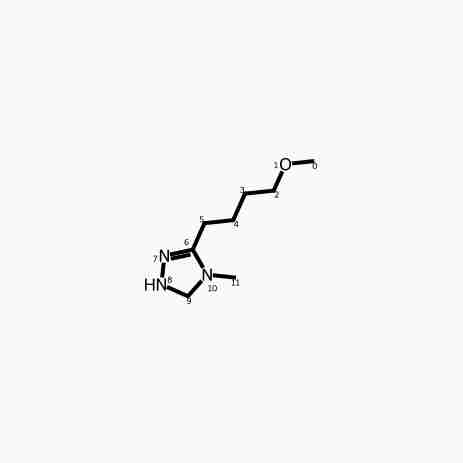 COCCCCC1=NNCN1C